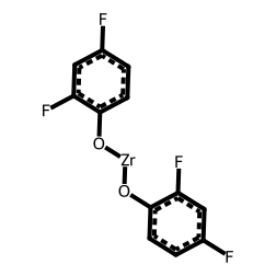 Fc1ccc([O][Zr][O]c2ccc(F)cc2F)c(F)c1